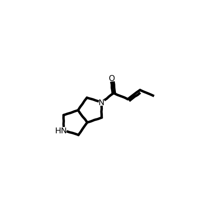 C/C=C/C(=O)N1CC2CNCC2C1